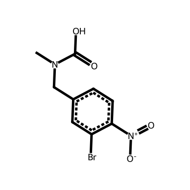 CN(Cc1ccc([N+](=O)[O-])c(Br)c1)C(=O)O